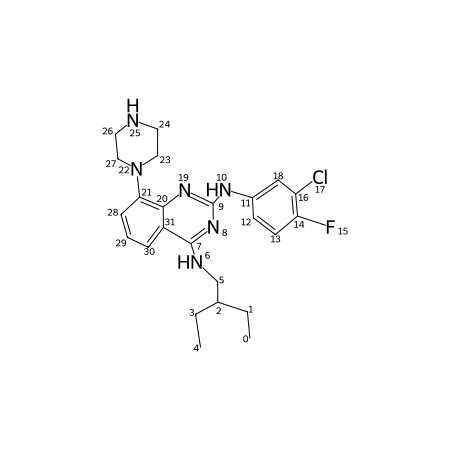 CCC(CC)CNc1nc(Nc2ccc(F)c(Cl)c2)nc2c(N3CCNCC3)cccc12